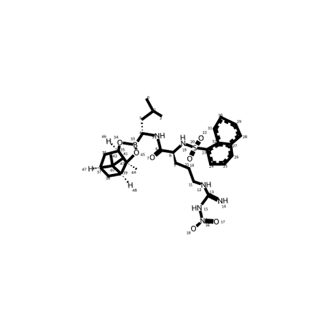 CC(C)C[C@H](NC(=O)[C@H](CCCNC(=N)N[N+](=O)[O-])NS(=O)(=O)c1cccc2ccccc12)B1O[C@@H]2C[C@@H]3C[C@@H](C3(C)C)[C@]2(C)O1